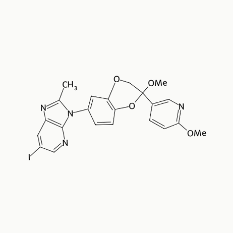 COc1ccc(C2(OC)COc3cc(-n4c(C)nc5cc(I)cnc54)ccc3O2)cn1